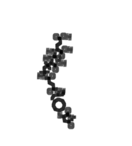 CCC(CC)(NC(=O)CCC(=O)NC(C)(C)CC(C)(C)C(NC(=O)NC(CCC(=O)O)C(=O)O)C(=O)O)[C@H]1CCC[C@@H](SC2CC(=O)N(C)C2=O)CCC1